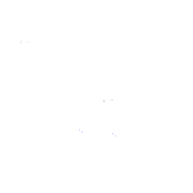 CCCCCCCCCCCCCCCN1C=CN(c2ccccc2)C1CCCCCCCCCC